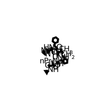 C=C(C)[C@H](NC(=O)C(N[C@@H](c1cnccn1)C(F)(F)F)C1CCCCC1)C(=O)N1C[C@@H]2CCC[C@@H]2[C@H]1C(=O)N[C@@H](CCC)C(=O)C(=O)NC1CC1